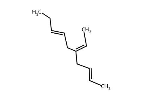 CC=CCC(=CC)CC=CCC